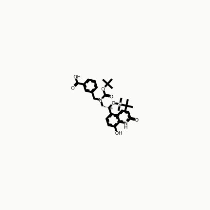 CC(C)(C)OC(=O)N(Cc1cccc(C(=O)O)c1)C[C@H](O[Si](C)(C)C(C)(C)C)c1ccc(O)c2[nH]c(=O)ccc12